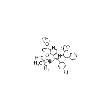 CCOC(=O)c1ncc2c(c(Br)c(-c3ccc(Cl)cc3)n2C(Cc2ccccc2)C2=COCO2)c1OC(=O)C(C)(C)C